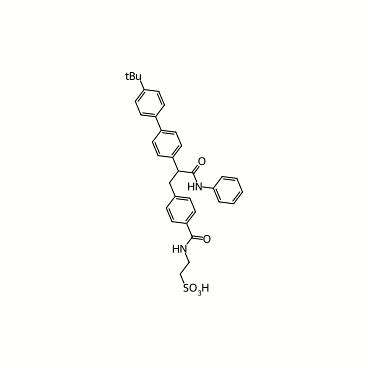 CC(C)(C)c1ccc(-c2ccc(C(Cc3ccc(C(=O)NCCS(=O)(=O)O)cc3)C(=O)Nc3ccccc3)cc2)cc1